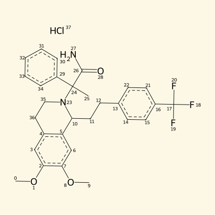 COc1cc2c(cc1OC)C(CCc1ccc(C(F)(F)F)cc1)N(C(C)(C(N)=O)c1ccccc1)CC2.Cl